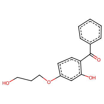 O=C(c1ccccc1)c1ccc(OCCCO)cc1O